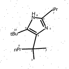 CCCC(C)(C)c1nc(C(C)C)[nH]c1C(C)(C)C